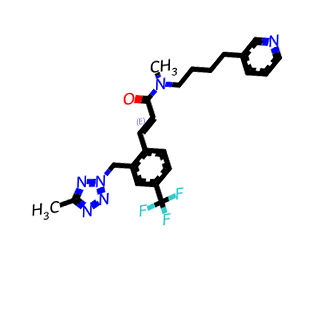 Cc1nnn(Cc2cc(C(F)(F)F)ccc2/C=C/C(=O)N(C)CCCCc2cccnc2)n1